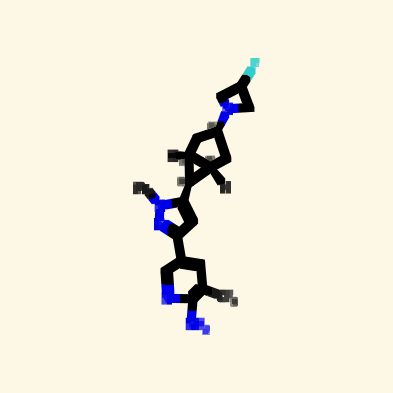 CC(C)n1nc(-c2cnc(N)c(C(F)(F)F)c2)cc1[C@H]1[C@@H]2C[C@@H](N3CC(F)C3)C[C@@H]21